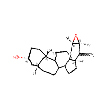 C=C1[C@H]2CCC3C4CC[C@H]5C[C@H](O)CC[C@]5(C)C4CC[C@@]32C[C@H]2O[C@@H]12